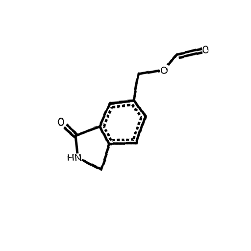 O=COCc1ccc2c(c1)C(=O)NC2